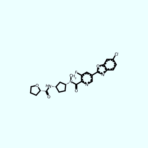 CN(C(=O)c1ncc(-c2nc3ccc(Cl)cc3o2)cc1F)[C@@H]1CC[C@H](NC(=O)[C@@H]2CCCO2)C1